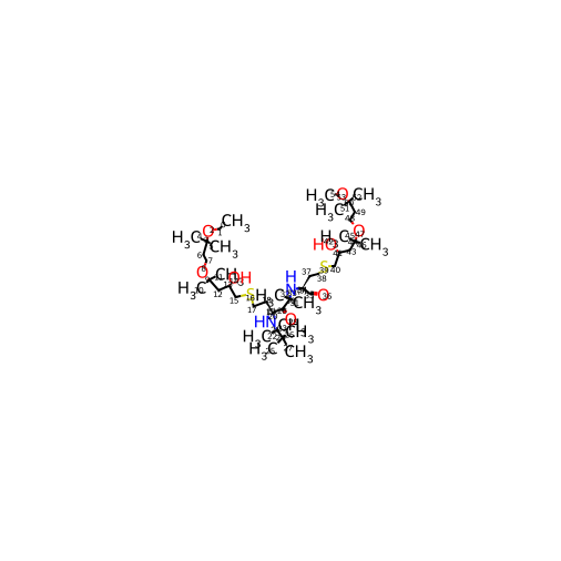 CCOC(C)(C)CCOC(C)(C)CC(O)CSCC[C@H](NC(C)(C)C(C)(C)C)C(=O)C(C)(C)N[C@H](C=O)CCSCC(O)CC(C)(C)OCCC(C)(C)OC